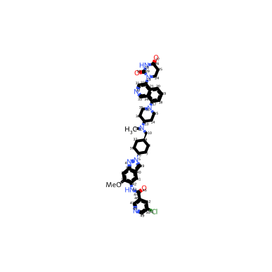 COc1cc2nn([C@H]3CC[C@H](CN(C)C4CCN(c5cccc6c(N7CCC(=O)NC7=O)cncc56)CC4)CC3)cc2cc1NC(=O)c1cncc(Cl)c1